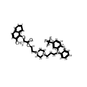 Cc1ccc2ccccc2c1OCC(=O)OCCN1CCN(CCCN2c3ccccc3Sc3ccc(C(F)(F)F)cc32)CC1